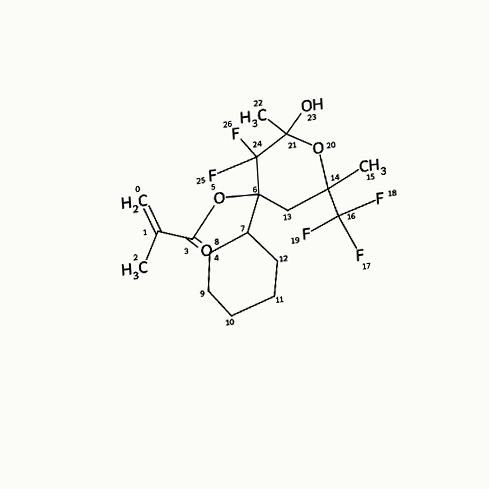 C=C(C)C(=O)OC1(C2CCCCC2)CC(C)(C(F)(F)F)OC(C)(O)C1(F)F